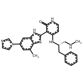 CNC[C@H](Cc1ccccc1)Nc1cc[nH]c(=O)c1-c1nc2c(C)cc(-n3ccnc3)cc2[nH]1